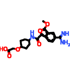 COc1oc(C(=O)NC2CCC(OCC(=O)O)CC2)c2ccc(C(=N)N)cc12